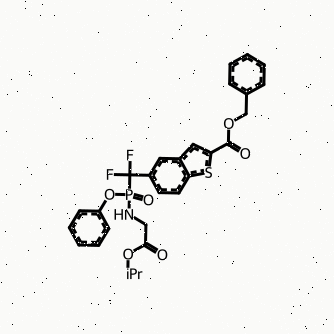 CC(C)OC(=O)CNP(=O)(Oc1ccccc1)C(F)(F)c1ccc2sc(C(=O)OCc3ccccc3)cc2c1